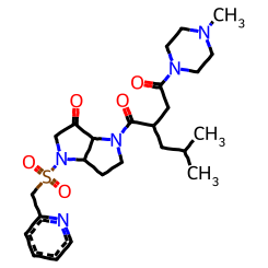 CC(C)CC(CC(=O)N1CCN(C)CC1)C(=O)N1CCC2C1C(=O)CN2S(=O)(=O)Cc1ccccn1